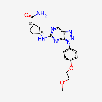 COCCOc1ccc(-n2nnc3cnc(N[C@@H]4CC[C@H](C(N)=O)C4)nc32)cc1